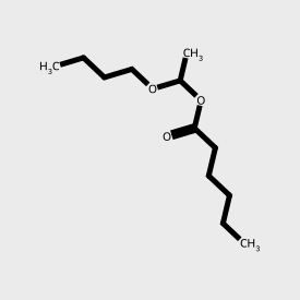 CCCCCC(=O)OC(C)OCCCC